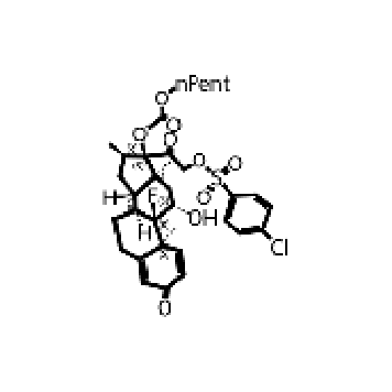 CCCCCOC(=O)O[C@]1(C(=O)COS(=O)(=O)c2ccc(Cl)cc2)[C@H](C)C[C@H]2[C@@H]3CCC4=CC(=O)C=C[C@]4(C)[C@@]3(F)[C@@H](O)C[C@@]21C